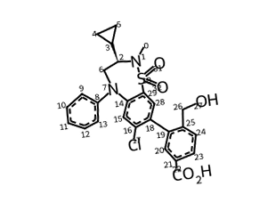 CN1[C@H](C2CC2)CN(c2ccccc2)c2cc(Cl)c(-c3cc(C(=O)O)ccc3CO)cc2S1(=O)=O